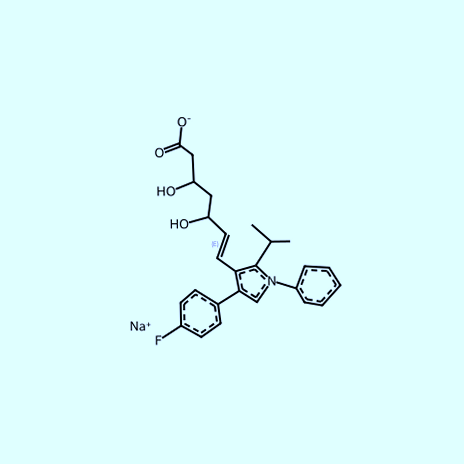 CC(C)c1c(/C=C/C(O)CC(O)CC(=O)[O-])c(-c2ccc(F)cc2)cn1-c1ccccc1.[Na+]